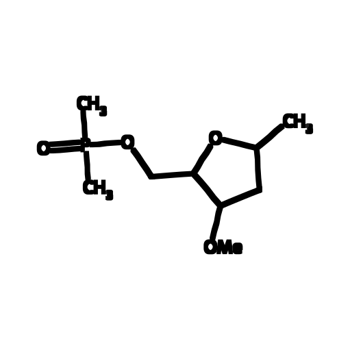 COC1CC(C)OC1COP(C)(C)=O